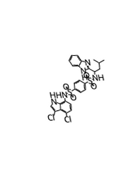 CC(C)CC(NS(=O)(=O)c1ccc(S(=O)(=O)Nc2ccc(Cl)c3c(Cl)c[nH]c23)cc1)c1nc2ccccc2[nH]1